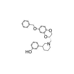 Oc1cccc(C2CCCN(C[C@H]3COc4ccc(OCc5ccccc5)cc4O3)C2)c1